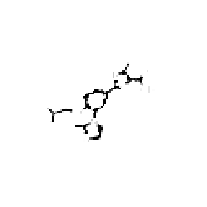 Cc1nc(-c2ccc(OCC(C)C)c(-n3ccnc3C)c2)sc1C(=O)O